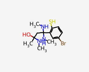 CNC(C)(O)CC(NC)(NC)c1cc(Br)ccc1S